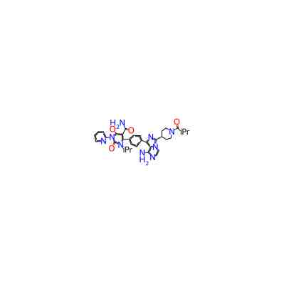 CC(C)C(=O)N1CCC(c2nc(-c3ccc(-c4c(C(N)=O)c(=O)n(-c5ccccn5)c(=O)n4C(C)C)cc3)c3c(N)nccn23)CC1